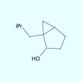 CC(C)CC12CC1CCC2O